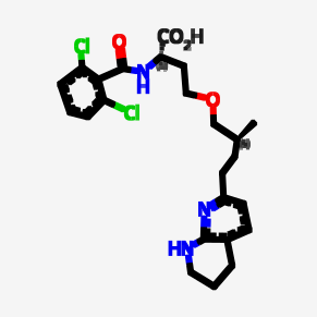 C[C@@H](CCc1ccc2c(n1)NCCC2)COCC[C@H](NC(=O)c1c(Cl)cccc1Cl)C(=O)O